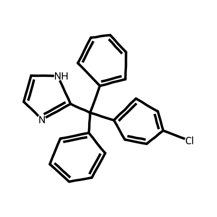 Clc1ccc(C(c2ccccc2)(c2ccccc2)c2ncc[nH]2)cc1